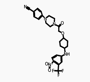 N#Cc1ccc(N2CCN(C(=O)COC3CCC(Nc4ccc([N+](=O)[O-])c(C(F)(F)F)c4)CC3)CC2)cc1